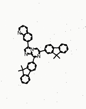 CC1(C)c2ccccc2-c2ccc(-c3cn4c(-c5ccc6cccnc6c5)cnc4c(-c4ccc5c(c4)C(C)(C)c4ccccc4-5)n3)cc21